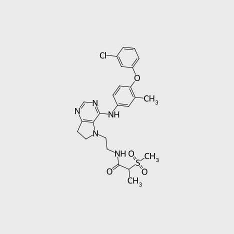 Cc1cc(Nc2ncnc3c2N(CCNC(=O)C(C)S(C)(=O)=O)CC3)ccc1Oc1cccc(Cl)c1